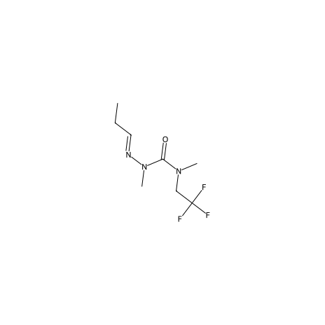 CC/C=N/N(C)C(=O)N(C)CC(F)(F)F